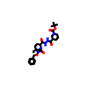 CC(C)(C)OC(=O)N1CCC[C@@H](C(=O)NNC(=O)[C@@H]2CC[C@@H]3CN2C(=O)N3OCc2ccccc2)C1